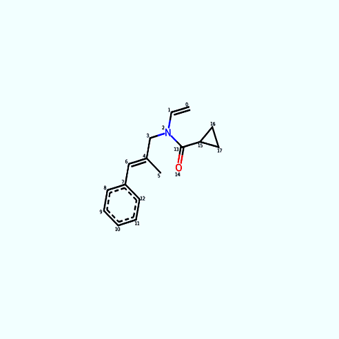 C=CN(C/C(C)=C/c1ccccc1)C(=O)C1CC1